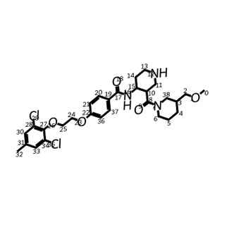 COCC1CCCN(C(=O)C2CNCCC2NC(=O)c2ccc(OCCOc3c(Cl)cc(C)cc3Cl)cc2)C1